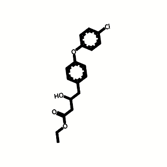 CCOC(=O)CC(O)Cc1ccc(Oc2ccc(Cl)cc2)cc1